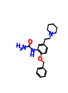 NC(=O)Nc1cc(CCN2CCCCC2)ccc1OCc1ccccc1